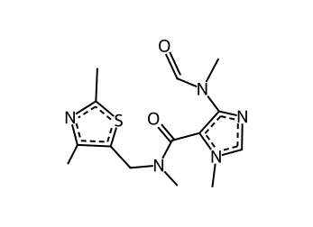 Cc1nc(C)c(CN(C)C(=O)c2c(N(C)C=O)ncn2C)s1